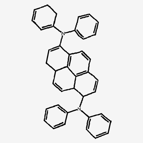 C1=CCCC(N(C2=CCC3C=CC4c5c(ccc2c53)C=CC4N(c2ccccc2)c2ccccc2)c2ccccc2)=C1